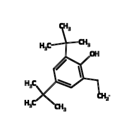 [CH2]Cc1cc(C(C)(C)C)cc(C(C)(C)C)c1O